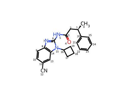 C[C@H](CC(=O)Nc1nc2ccc(C#N)cc2n1C1CCC1)c1ccccc1